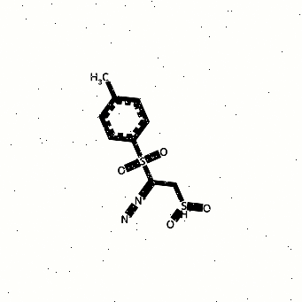 Cc1ccc(S(=O)(=O)C(C[SH](=O)=O)=[N+]=[N-])cc1